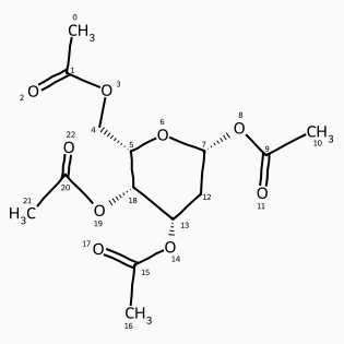 CC(=O)OC[C@@H]1O[C@H](OC(C)=O)C[C@H](OC(C)=O)[C@@H]1OC(C)=O